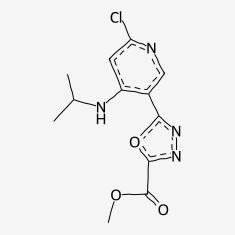 COC(=O)c1nnc(-c2cnc(Cl)cc2NC(C)C)o1